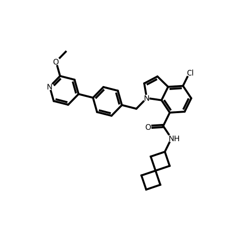 COc1cc(-c2ccc(Cn3ccc4c(Cl)ccc(C(=O)NC5CC6(CCC6)C5)c43)cc2)ccn1